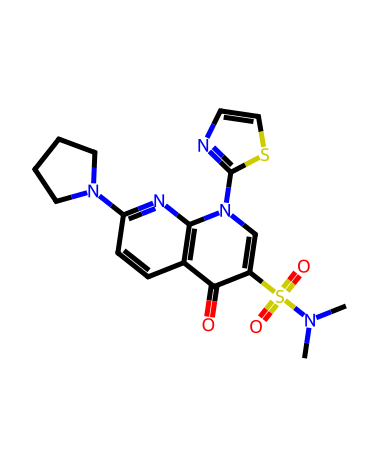 CN(C)S(=O)(=O)c1cn(-c2nccs2)c2nc(N3CCCC3)ccc2c1=O